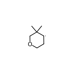 CC1(C)[CH]CCOC1